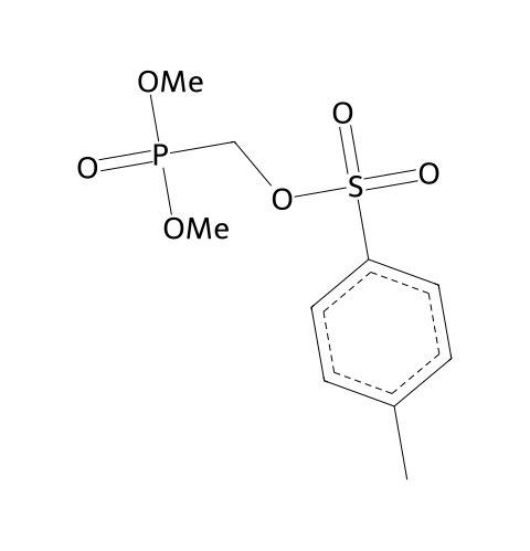 COP(=O)(COS(=O)(=O)c1ccc(C)cc1)OC